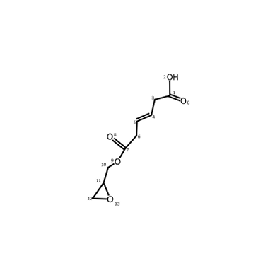 O=C(O)CC=CCC(=O)OCC1CO1